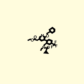 CCOC(=O)Cc1cnc(OCc2ccccc2)c(-c2ccc(C(F)(F)F)cc2CN(CC)C(=O)C2CC2)c1